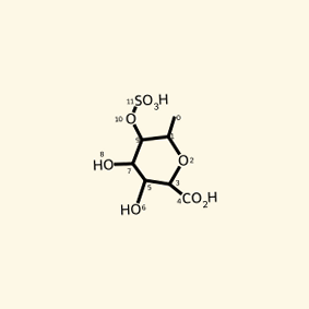 CC1OC(C(=O)O)C(O)C(O)C1OS(=O)(=O)O